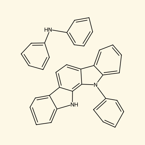 c1ccc(-n2c3ccccc3c3ccc4c5ccccc5[nH]c4c32)cc1.c1ccc(Nc2ccccc2)cc1